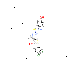 CC(=NNC(=S)Nc1ccc(O)cc1)c1csc(-c2ccc(Cl)c(Cl)c2)c1O